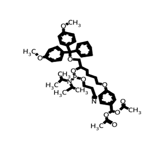 COc1ccc(C(OCC(CCCCOc2ccc(C(OC(C)=O)OC(C)=O)cc2)OP(OCCC#N)N(C(C)C)C(C)C)(c2ccccc2)c2ccc(OC)cc2)cc1